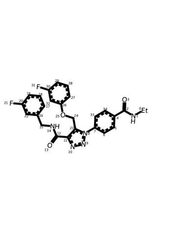 CCNC(=O)c1ccc(-n2nnc(C(=O)NCc3cccc(F)c3)c2COc2cccc(F)c2)cc1